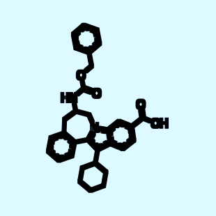 O=C(NC1Cc2ccccc2-c2c(C3CCCCC3)c3ccc(C(=O)O)cc3n2C1)OCc1ccccc1